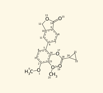 COc1ccc(-c2ccc3c(c2)COC3=O)c(OC(=O)C2CC2)c1OC